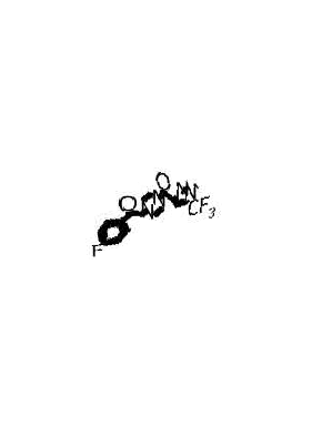 Cn1nc(C(=O)N2CCN(CC(=O)c3ccc(F)cc3)CC2)cc1C(F)(F)F